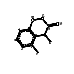 Cc1cccc2c1C(C)[Si](=O)OO2